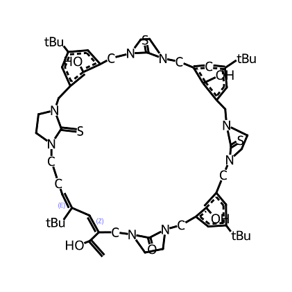 C=C(O)/C1=C\C(C(C)(C)C)=C/CCN2CCN(Cc3cc(C(C)(C)C)cc(c3O)CN3CCN(Cc4cc(C(C)(C)C)cc(c4O)CN4CCN(Cc5cc(C(C)(C)C)cc(c5O)CN5CCN(C1)C5=O)C4=S)C3=S)C2=S